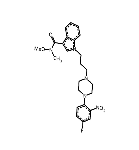 CON(C)C(=O)c1cn(CCCN2CCN(c3ccc(F)cc3[N+](=O)[O-])CC2)c2ccccc12